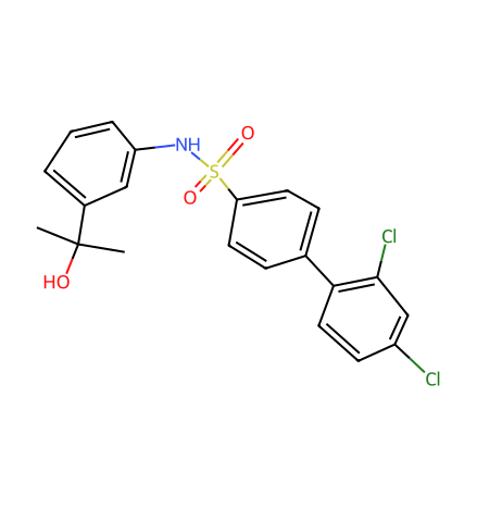 CC(C)(O)c1cccc(NS(=O)(=O)c2ccc(-c3ccc(Cl)cc3Cl)cc2)c1